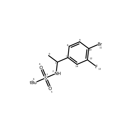 CC(NS(=O)(=O)C(C)(C)C)c1ccc(Br)c(F)c1